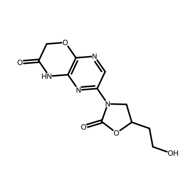 O=C1COc2ncc(N3CC(CCO)OC3=O)nc2N1